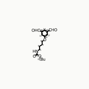 CC(C)(C)OC(=O)NCCCCOc1cc(C=O)cc(C=O)c1